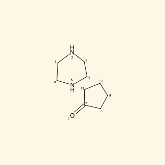 C1CNCCN1.O=C1CCCC1